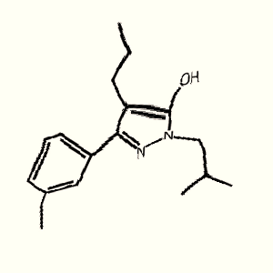 CCCc1c(-c2cccc(C)c2)nn(CC(C)C)c1O